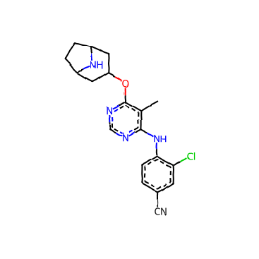 Cc1c(Nc2ccc(C#N)cc2Cl)ncnc1OC1CC2CCC(C1)N2